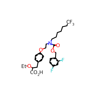 CCOC(Cc1ccc(OCCN(CCCCCCC(F)(F)F)C(=O)OCc2ccc(F)cc2F)cc1)C(=O)O